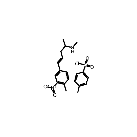 CNC(C)CC=Cc1ccc(C)c([N+](=O)[O-])c1.Cc1ccc(S(=O)(=O)Cl)cc1